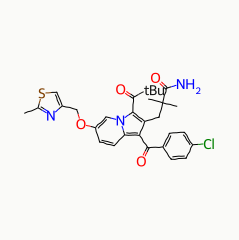 Cc1nc(COc2ccc3c(C(=O)c4ccc(Cl)cc4)c(CC(C)(C)C(N)=O)c(C(=O)C(C)(C)C)n3c2)cs1